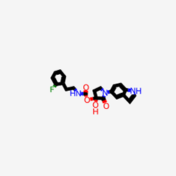 O=C(NCCc1ccccc1F)OC1(O)CCN(c2ccc3[nH]ccc3c2)C1=O